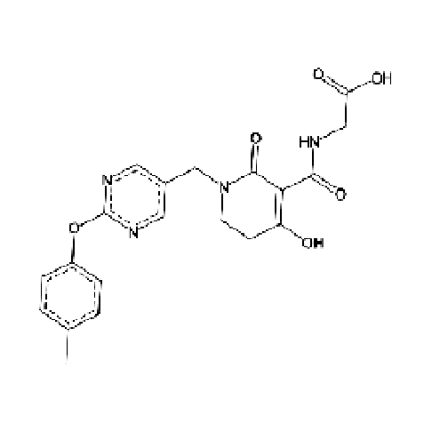 Cc1ccc(Oc2ncc(CN3CCC(O)=C(C(=O)NCC(=O)O)C3=O)cn2)cc1